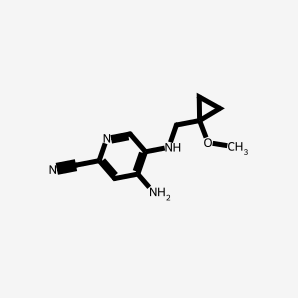 COC1(CNc2cnc(C#N)cc2N)CC1